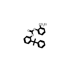 CCOC(=O)c1ccccc1OC(=O)Oc1ccccc1C(C)(C)c1ccccc1